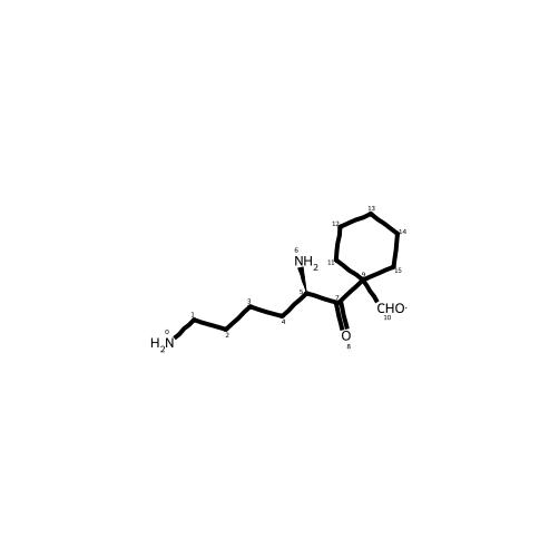 NCCCC[C@@H](N)C(=O)C1([C]=O)CCCCC1